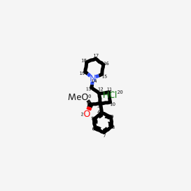 COC(=O)C1(c2ccccc2)CCC1CN1CCCCC1.Cl